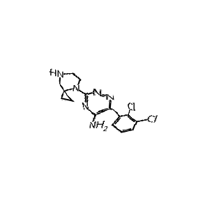 Nc1nc(N2CCNCC23CC3)nnc1-c1cccc(Cl)c1Cl